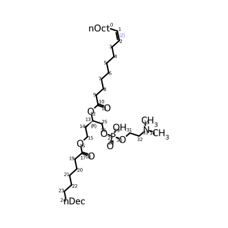 CCCCCCCC/C=C\CCCCCCCC(=O)O[C@H](CCOC(=O)CCCCCCCCCCCCCCC)COP(=O)(O)OCCN(C)C